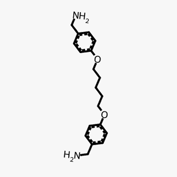 NCc1ccc(OCCCCCOc2ccc(CN)cc2)cc1